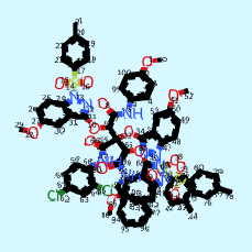 COc1ccc(NC(=O)C(Oc2nn(S(=O)(=O)c3ccc(C)cc3)c3ccc(OC)cc23)C(Oc2nn(S(=O)(=O)c3ccc(C)cc3)c3ccc(OC)cc23)(C(=O)Nc2ccc(Cl)cc2Cl)C(Oc2nn(S(=O)(=O)c3ccc(C)cc3)c3ccc(OC)cc23)C(=O)NCc2ccccc2)cc1